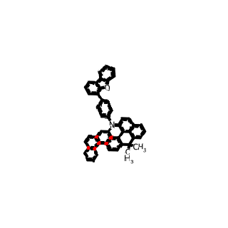 CC1(C)c2ccc(-c3ccccc3)cc2-c2c(N(c3ccc(-c4ccccc4)cc3)c3ccc(-c4cccc5c4oc4ccccc45)cc3)ccc3cccc1c23